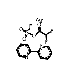 O=C(OS(=O)(=O)F)C(F)F.[Ag].c1ccc(-c2ccccn2)nc1